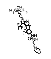 C[Si](C)(C)CCOCn1cc(C(F)(F)F)c2c(Oc3c(F)cc(NC(=O)NCCCN4CCOCC4)cc3F)ccnc21